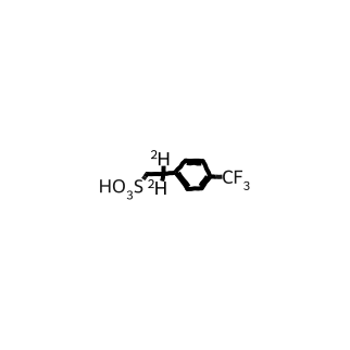 [2H]C([2H])(CS(=O)(=O)O)c1ccc(C(F)(F)F)cc1